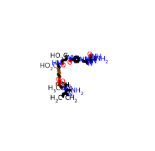 C=C/C=c1\c(=C)nc(N)c2nc(CCCC)n(CC(C)(C)OC(=O)OCCSSCC(NC(=O)CCC(NC(=O)c3ccc(NCc4cnc5nc(N)[nH]c(=O)c5n4)cc3)C(=O)O)C(=O)O)c12